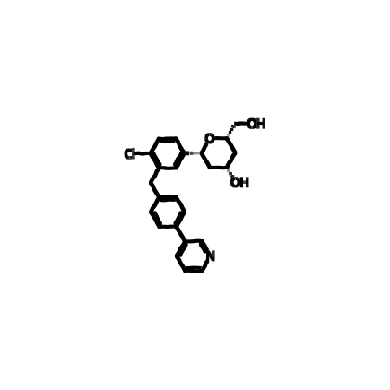 OC[C@@H]1C[C@H](O)C[C@H](c2ccc(Cl)c(Cc3ccc(-c4cccnc4)cc3)c2)O1